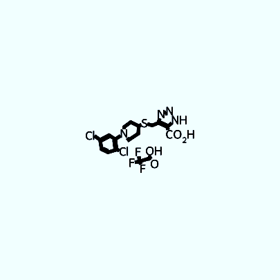 O=C(O)C(F)(F)F.O=C(O)c1[nH]nnc1CSC1CCN(c2cc(Cl)ccc2Cl)CC1